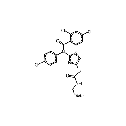 COCNC(=O)Oc1csc(N(C(=O)c2ccc(Cl)cc2Cl)c2ccc(Cl)cc2)n1